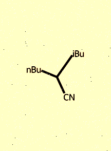 CCCCC(C#N)C(C)CC